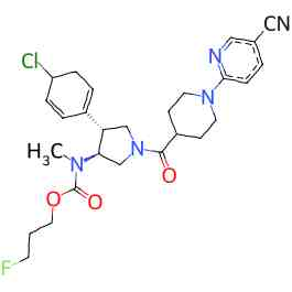 CN(C(=O)OCCCF)[C@@H]1CN(C(=O)C2CCN(c3ccc(C#N)cn3)CC2)C[C@H]1C1=CCC(Cl)C=C1